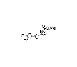 COC(=O)c1nc(C2CCN(c3ccc(Cl)c(Cl)c3)C2)cs1